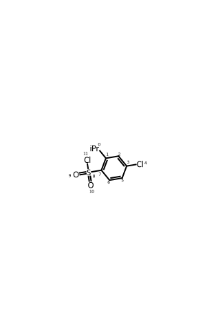 CC(C)c1cc(Cl)ccc1S(=O)(=O)Cl